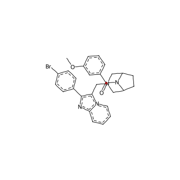 COc1cccc(C(=O)N2C3CCC2CN(Cc2c(-c4ccc(Br)cc4)nc4ccccn24)C3)c1